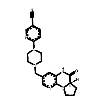 N#Cc1ccc(N2CCN(Cc3cnc4c(c3)NC(=O)[C@@H]3CCCN43)CC2)nc1